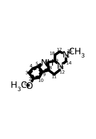 COc1ccc2[nH]c3c(c2c1)CCN1CN(C)CCC31